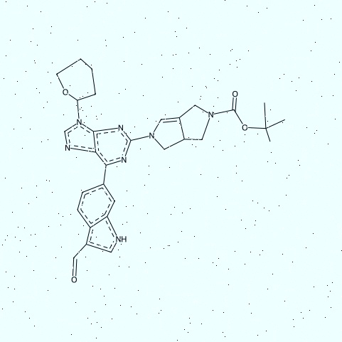 CC(C)(C)OC(=O)N1CC2=CN(c3nc(-c4ccc5c(C=O)c[nH]c5c4)c4ncn(C5CCCCO5)c4n3)CC2C1